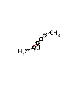 CCCCCc1ccc(-c2ccc(C3=CCC(C4CCC(CCCC)CC4)CC3)cc2)c(Cl)c1F